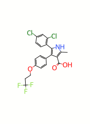 Cc1[nH]c(-c2ccc(Cl)cc2Cl)c(-c2ccc(OCCC(F)(F)F)cc2)c1C(=O)O